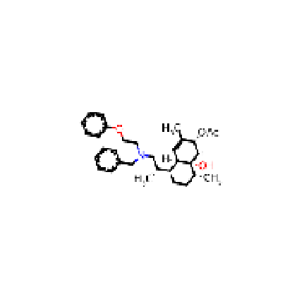 CC(=O)O[C@@H]1[C][C@@]2(O)[C@H](C)CC[C@@H]([C@H](C)CN(CCOc3ccccc3)Cc3ccccc3)[C@H]2C=C1C